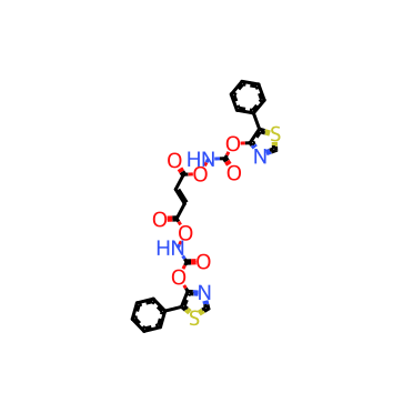 O=C(/C=C/C(=O)ONC(=O)Oc1ncsc1-c1ccccc1)ONC(=O)Oc1ncsc1-c1ccccc1